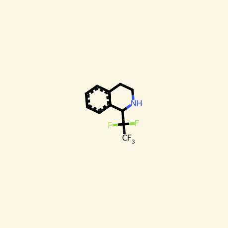 FC(F)(F)C(F)(F)C1NCCc2ccccc21